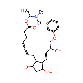 CCN(CC)C(C)OC(=O)CCC=C=CCC1C(O)CC(O)C1/C=C/C(O)COc1ccccc1